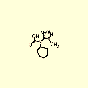 Cc1nonc1N(C(=O)O)C1CCCCC1